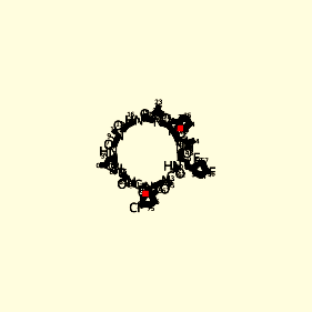 CC[C@H](C)[C@@H]1NC(=O)[C@H](C)N(C)C(=O)C[C@@H](C)NC(=O)[C@H](CC(C)C)N(C)C(=O)[C@H](Cc2ccccc2)N(C)C(=O)[C@H](CC(C)C)NC(=O)[C@H](CCc2ccc(F)cc2F)NC(=O)CN(C)C(=O)[C@H](Cc2ccc(Cl)cc2)N(C)C(=O)CN(C)C(=O)CN(C)C1=O